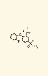 CS(=O)(=O)c1ccc(Oc2c[c]ccc2F)c(C(F)(F)F)c1